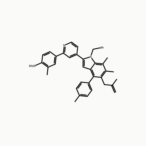 C=C(C)Cc1c(C)c(C)c2c(cc(-c3ccnc(-c4ccc(NC)c(C)c4)c3)n2CC(C)C)c1-c1ccc(C)cc1